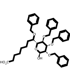 O=C(O)CCCCCCC(OCc1ccccc1)[C@H]1O[C@H](O)[C@@H](OCc2ccccc2)[C@@H](OCc2ccccc2)[C@@H]1OCc1ccccc1